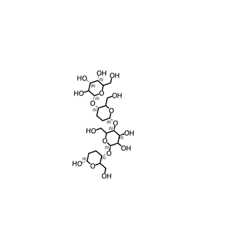 OCC1O[C@H](O[C@@H]2C(CO)O[C@H](O[C@H]3CC[C@@H](O)OC3CO)C(O)[C@@H]2O)CC[C@@H]1O[C@H]1OC(CO)[C@@H](O)[C@@H](O)C1O